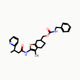 CC(CC(=O)Nc1sc2c(c1C#N)CCC(COC(=O)NCc1ccccc1)C2)c1ccccn1